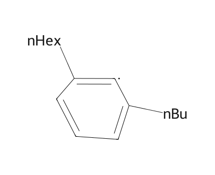 CCCCCCc1[c]c(CCCC)ccc1